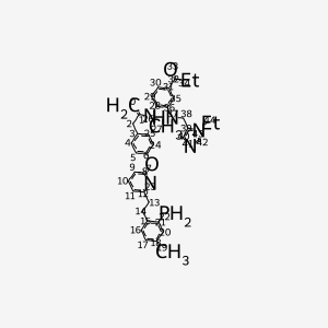 C=C(Cc1ccc(Oc2cccc(CCc3ccc(C)cc3P)n2)cc1)N(C)c1ccc(C(=O)CC)cc1NCc1cncn1CC